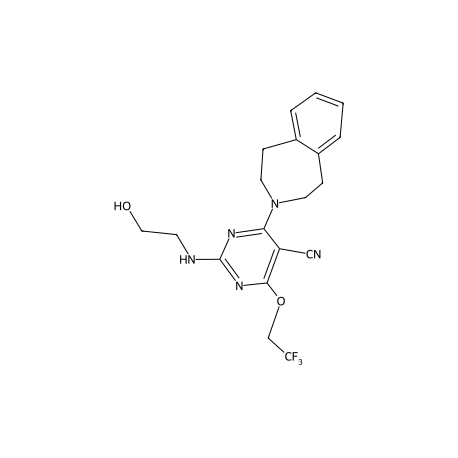 N#Cc1c(OCC(F)(F)F)nc(NCCO)nc1N1CCc2ccccc2CC1